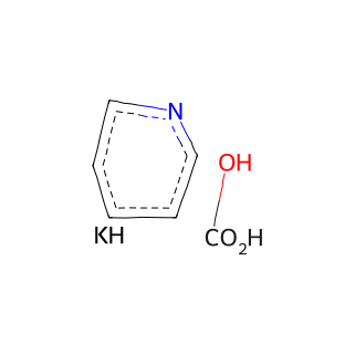 O=C(O)O.[KH].c1ccncc1